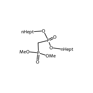 CCCCCCCOP(=O)(CP(=O)(OC)OC)OCCCCCCC